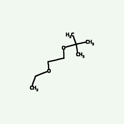 CCOCCOC(C)(C)C